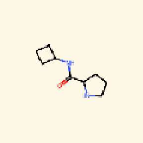 O=C(NC1CCC1)C1CCCN1